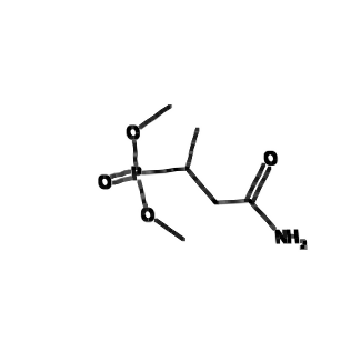 COP(=O)(OC)C(C)CC(N)=O